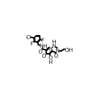 O=C(NCc1c(F)ccc(Cl)c1F)c1cn2c(c(O)c1=O)C(=O)N(CCO)CN2